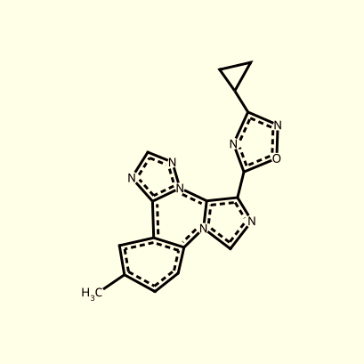 Cc1ccc2c(c1)c1ncnn1c1c(-c3nc(C4CC4)no3)ncn21